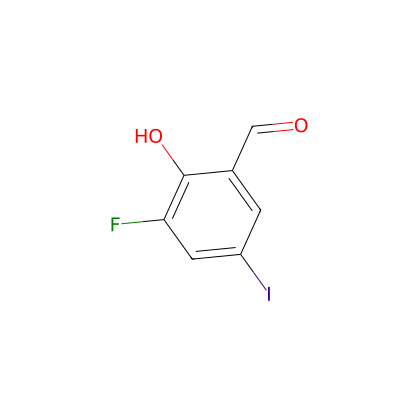 O=Cc1cc(I)cc(F)c1O